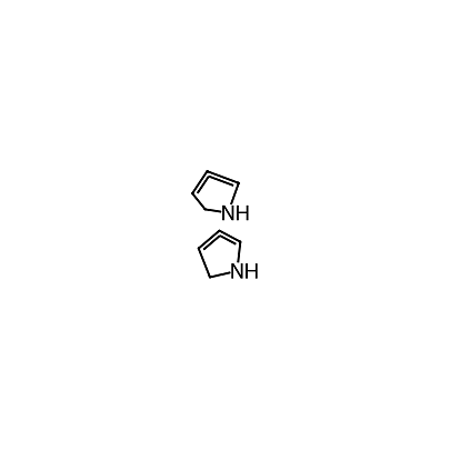 C1=CCNC=1.C1=CCNC=1